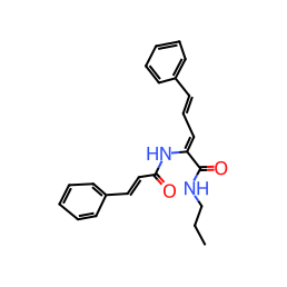 CCCNC(=O)/C(=C/C=C/c1ccccc1)NC(=O)/C=C/c1ccccc1